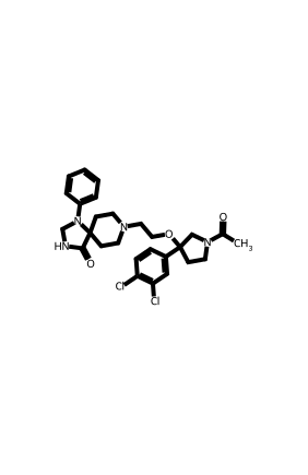 CC(=O)N1CCC(OCCN2CCC3(CC2)C(=O)NCN3c2ccccc2)(c2ccc(Cl)c(Cl)c2)C1